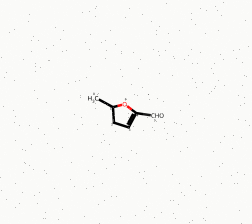 CC1CC=C(C=O)O1